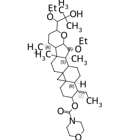 C/C=C1\C(OC(=O)N2CCOCC2)CCC23CC24CCC2(C)C5C(OC(C(OCC)C(C)(C)O)C[C@H]5C)[C@H](OCC)[C@@]2(C)C4CC[C@@H]13